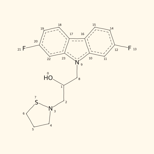 OC(CN1CCCS1)Cn1c2cc(F)ccc2c2ccc(F)cc21